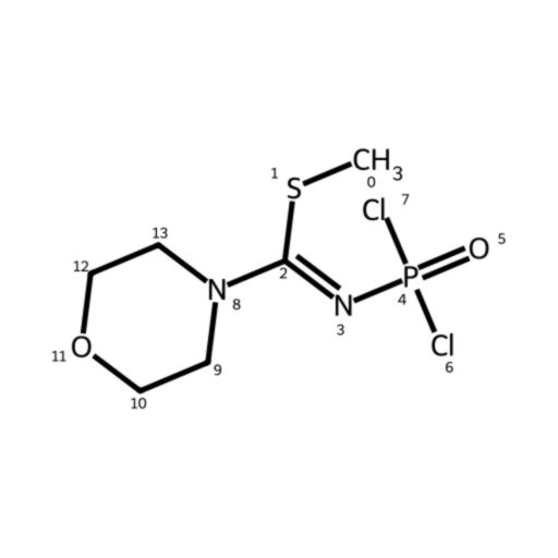 CSC(=NP(=O)(Cl)Cl)N1CCOCC1